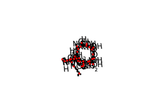 CCC(C)CCCCCCCCC(=O)NC(Cc1c[nH]c2ccccc12)C(=O)NC(CC(N)=O)C(=O)NC(CC(=O)O)C(=O)NC1C(=O)NCC(=O)NC(CCCN)C(=O)NC(CC(=O)O)C(=O)NC(CO)C(=O)NC(CC(=O)O)C(=O)NCC(=O)NC(CO)C(=O)NC(C(C)CC(=O)O)C(=O)NC(CC(=O)c2ccccc2N)C(=O)OC1C